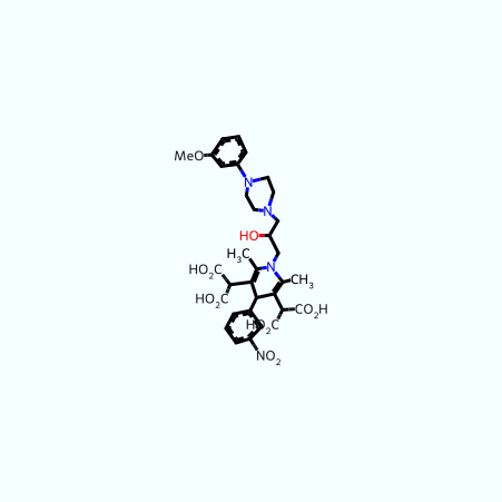 COc1cccc(N2CCN(CC(O)CN3C(C)=C(C(C(=O)O)C(=O)O)C(c4cccc([N+](=O)[O-])c4)C(C(C(=O)O)C(=O)O)=C3C)CC2)c1